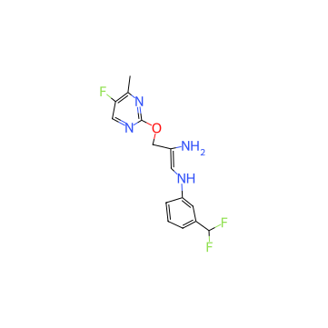 Cc1nc(OC/C(N)=C/Nc2cccc(C(F)F)c2)ncc1F